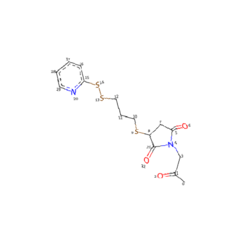 CC(=O)CN1C(=O)CC(SCCCSSc2ccccn2)C1=O